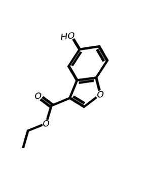 CCOC(=O)c1coc2ccc(O)cc12